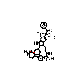 Cc1cc(C)cc(-c2[nH]c3sc(C(C)(C)C(=O)N4CC5CCC4CC5)cc3c2CCNC(=N)N2CCC(c3ccncc3)C2)c1